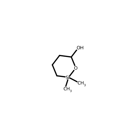 C[Si]1(C)CCCC(O)O1